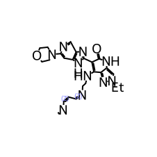 C=N/C=C\C=N/CCNc1c(-c2nc3cnc(N4CCOCC4)cc3[nH]2)c(=O)[nH]c2cn(CC)nc12